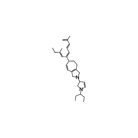 C=C(C)/C=C/C=C(\C=C(/C)CC)C1C=CC2=C(CC1)CN(C1C=CN(C(CC)CC)C1)C2